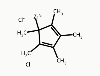 CC1=C(C)[C](C)([Zr+3])C(C)=C1C.[Cl-].[Cl-]